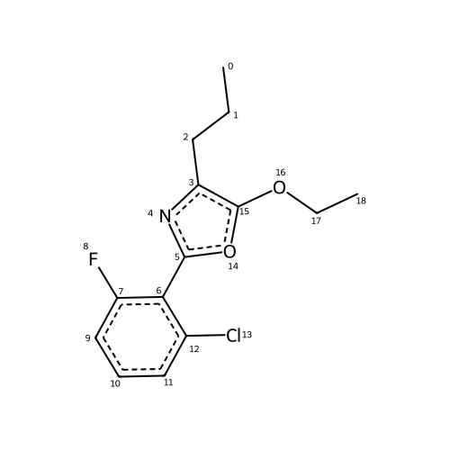 CCCc1nc(-c2c(F)cccc2Cl)oc1OCC